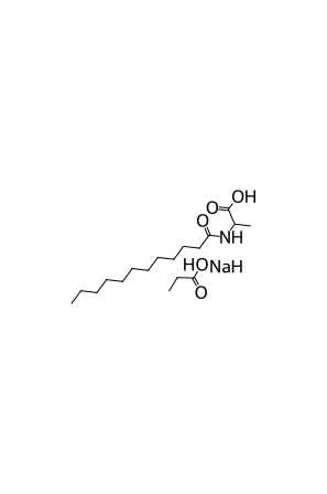 CCC(=O)O.CCCCCCCCCCCC(=O)NC(C)C(=O)O.[NaH]